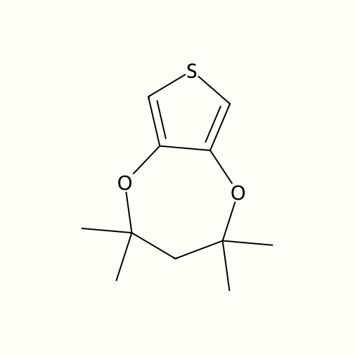 CC1(C)CC(C)(C)Oc2cscc2O1